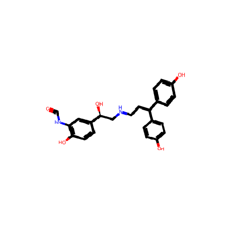 O=CNc1cc([C@@H](O)CNCCC(c2ccc(O)cc2)c2ccc(O)cc2)ccc1O